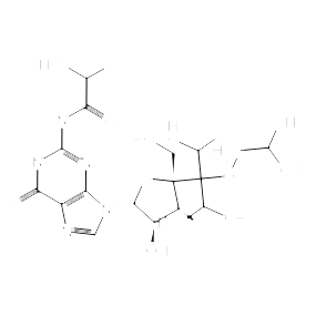 CC(C)[SiH2]OC(C(C)C)(C(C)C)[C@@]1(CO)O[C@@H](n2cnc3c(=O)[nH]c(NC(=O)C(C)C)nc32)[C@H](O)[C@@H]1O